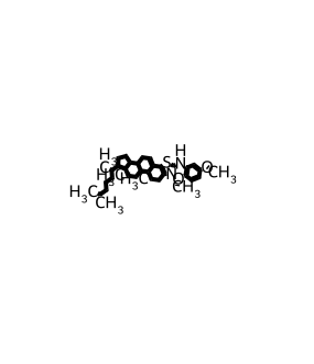 COc1ccc(OC)c(Nc2nc3c(s2)C2=CCC4C(CCC5(C)C(C(C)CCCC(C)C)CCC45)C2(C)CC3)c1